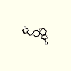 CCc1cc2c(s1)CCOC21CCN(Cc2ccon2)CC1